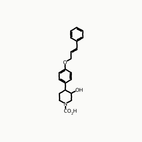 O=C(O)N1CCC(c2ccc(OC/C=C/c3ccccc3)cc2)C(O)C1